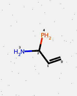 C=CC(N)P